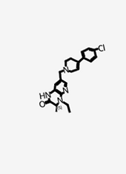 CCN1c2ncc(CN3CC=C(c4ccc(Cl)cc4)CC3)cc2NC(=O)[C@@H]1C